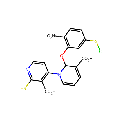 O=C(O)C1=CC=CN(c2ccnc(S)c2C(=O)O)C1Oc1cc(SCl)ccc1[N+](=O)[O-]